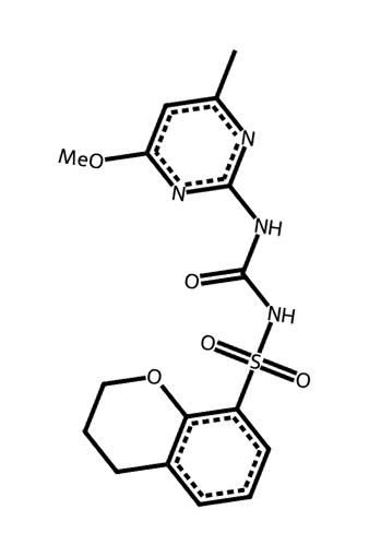 COc1cc(C)nc(NC(=O)NS(=O)(=O)c2cccc3c2OCCC3)n1